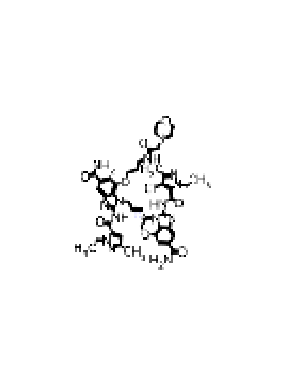 CCn1nc(C)cc1C(=O)Nc1nc2cc(C(N)=O)cc(OCCCNC(=O)CN3CCOCC3)c2n1C/C=C/[C@H]1COc2cc(C(N)=O)cc3nc(NC(=O)c4c(Cl)c(C)nn4CC)n1c23